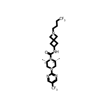 C[C@@H]1CN(c2ncc(C(F)(F)F)cn2)C[C@H](C)N1C(=O)NC1CC2(C1)CN(CCCC(F)(F)F)C2